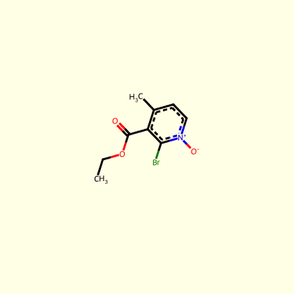 CCOC(=O)c1c(C)cc[n+]([O-])c1Br